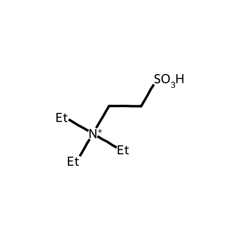 CC[N+](CC)(CC)CCS(=O)(=O)O